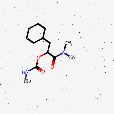 CN(C#N)C(=O)C(CC1CCCCC1)OC(=O)NC(C)(C)C